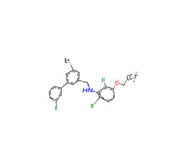 CCc1cc(CNc2c(F)ccc(OCC(=O)O)c2F)cc(-c2cccc(F)c2)c1